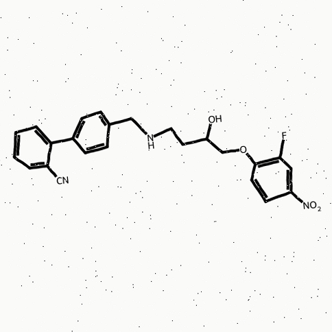 N#Cc1ccccc1-c1ccc(CNCCC(O)COc2ccc([N+](=O)[O-])cc2F)cc1